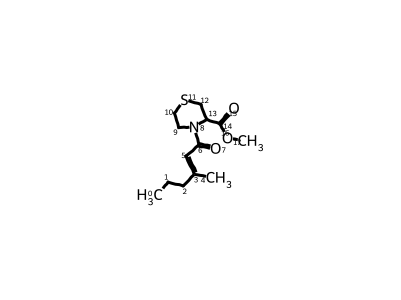 CCC/C(C)=C/C(=O)N1CCSCC1C(=O)OC